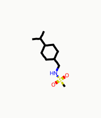 CC(C)C1CCC(CNS(C)(=O)=O)CC1